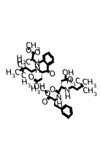 COC(=O)C(C)Nc1ccccc1C(=O)[C@H](CC(=O)O)NCCC(C)(C)C.COC(=O)[C@H](Cc1ccccc1)NC(=O)[C@H](CC(=O)O)NCCC(C)(C)C